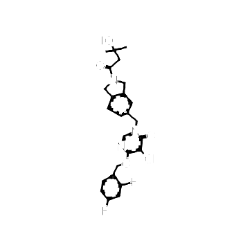 CC(C)(O)CC(=O)N1Cc2ccc(Cn3cnc(OCc4ccc(F)cc4F)c(Cl)c3=O)cc2C1